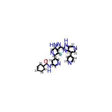 O=C(Nc1cncc(-c2ncc3[nH]nc(-c4nc5c(-c6ccncc6)cncc5[nH]4)c3c2F)c1)C1CCCCC1